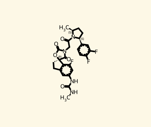 CNC(=O)Nc1cc(F)c2c(c1)CC[C@@]21OC(=O)N(CC(=O)N2[C@@H](C)CC[C@H]2c2ccc(F)c(F)c2)C1=O